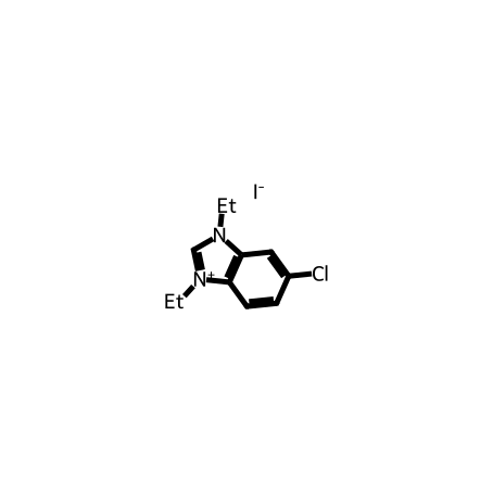 CCn1c[n+](CC)c2ccc(Cl)cc21.[I-]